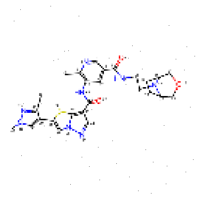 Cc1ncc(C(=O)NCCN2C3CCC2COC3)cc1NC(=O)c1cnn2cc(-c3cn(C)nc3C)sc12